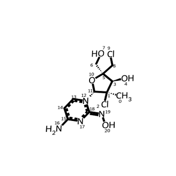 C[C@@]1(Cl)[C@H](O)[C@](CO)(CCl)O[C@H]1n1ccc(N)n/c1=N\O